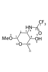 COC1CC(NC(=O)C(F)(F)F)C(O)C(C)O1